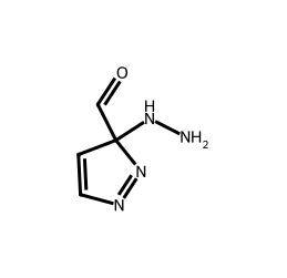 NNC1(C=O)C=CN=N1